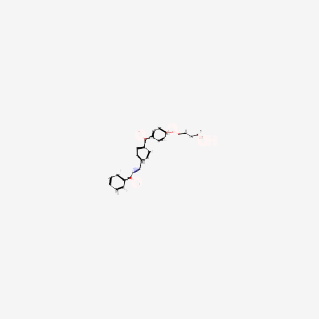 O=C(/C=C/c1ccc(C(=O)c2ccc(OCCCCO)cc2)cc1)c1ccccc1